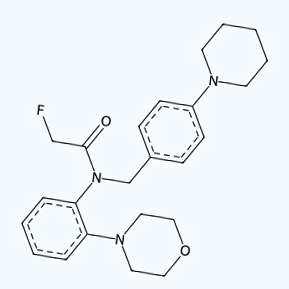 O=C(CF)N(Cc1ccc(N2CCCCC2)cc1)c1ccccc1N1CCOCC1